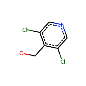 [O]Cc1c(Cl)cncc1Cl